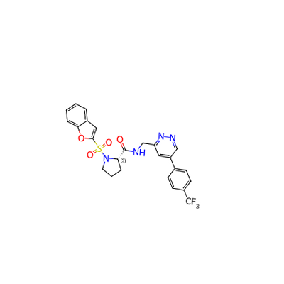 O=C(NCc1cc(-c2ccc(C(F)(F)F)cc2)cnn1)[C@@H]1CCCN1S(=O)(=O)c1cc2ccccc2o1